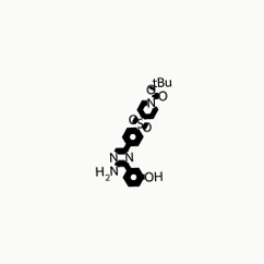 CC(C)(C)OC(=O)N1CCC(S(=O)(=O)c2ccc(-c3cnc(N)c(-c4cccc(O)c4)n3)cc2)CC1